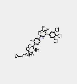 Cc1cc(/C(F)=C/C(c2cc(Cl)c(Cl)c(Cl)c2)C(F)(F)F)ccc1C(=O)NC(C)C(=O)NCCC1CC1